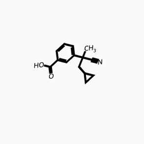 CC(C#N)(CC1CC1)c1cccc(C(=O)O)c1